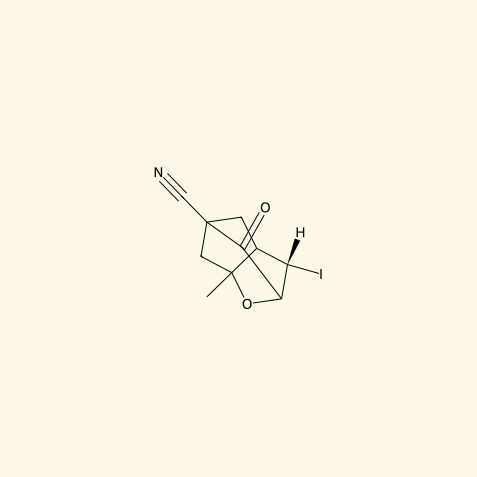 CC12CC3(C#N)CC1[C@H](I)C(O2)C3=O